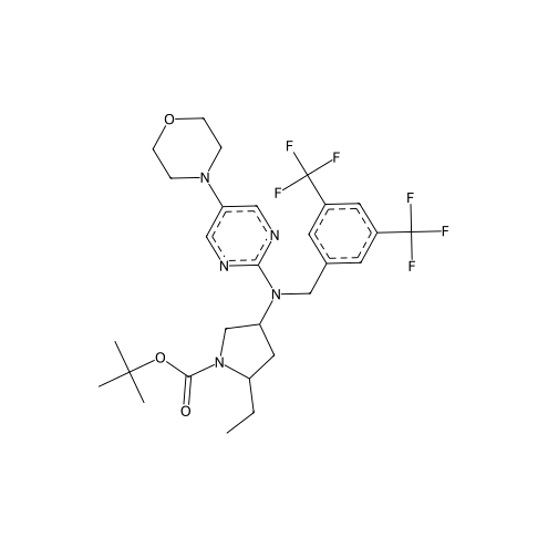 CCC1CC(N(Cc2cc(C(F)(F)F)cc(C(F)(F)F)c2)c2ncc(N3CCOCC3)cn2)CN1C(=O)OC(C)(C)C